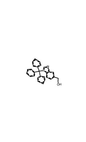 OCc1ccc2c(c1)ncn2C(c1ccccc1)(c1ccccc1)c1ccccc1